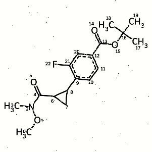 CON(C)C(=O)C1CC1c1ccc(C(=O)OC(C)(C)C)cc1F